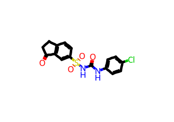 O=C(Nc1ccc(Cl)cc1)NS(=O)(=O)c1ccc2c(c1)C(=O)CC2